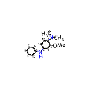 COc1cc(Nc2ccccc2)ccc1N(C)C